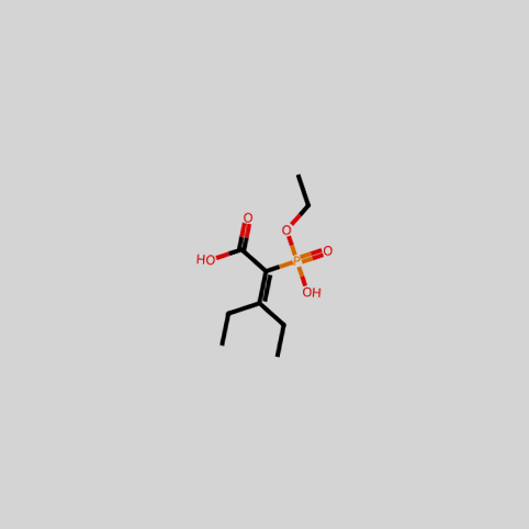 CCOP(=O)(O)C(C(=O)O)=C(CC)CC